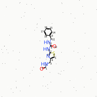 O=CNCc1csc(NC(=O)NCc2ccccc2)n1